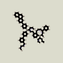 C=CCC(/C=C\C)N1c2cccc(C/C=C(\C=C/C)N(c3ccc(-c4cccc(/C=C\C=C/C)c4)cc3)c3ccc(-c4ccc5c(ccc6ccccc65)c4)cc3)c2C/C=C\C(c2ccccc2)=C/C1C